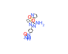 CNC(=O)Nc1ccc(-c2nc(N)cc(C3(S(=O)(=O)c4ccccn4)CCC3)n2)cc1